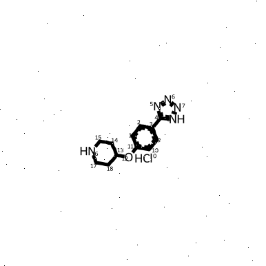 Cl.c1cc(-c2nnn[nH]2)ccc1OC1CCNCC1